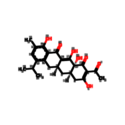 CC(=O)C1=C(O)C[C@H]2C[C@H]3Cc4c(C(C)C)cc(C)c(O)c4C(=O)C3=C(O)[C@@]2(O)C1=O